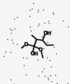 CCC(O)C(C)C(O)(OC)OC